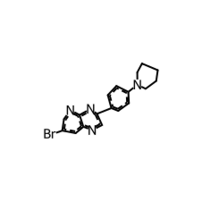 Brc1cnc2nc(-c3ccc(N4CCCCC4)cc3)cnc2c1